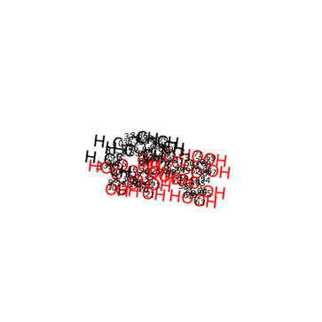 C[C@H](CC[C@@H](O[C@@H]1O[C@H](CO)[C@@H](O)[C@H](O)[C@H]1O[C@H]1O[C@@H](CO)[C@H](O)[C@@H](O)[C@@H]1O)C(C)(C)O)C1CC[C@@]2(C)C3CC=C4C(CC[C@H](O[C@@H]5O[C@H](CO[C@@H]6O[C@H](C[C@H]7O[C@@H](CO)[C@H](O)[C@@H](O)[C@@H]7O)[C@@H](O)[C@H](O)[C@H]6O)[C@@H](O)[C@H](O)[C@H]5O)C4(C)C)[C@]3(C)[C@H](O)C[C@]12C